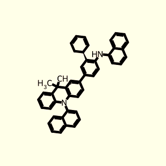 CC1(C)c2ccccc2N(c2cccc3ccccc23)c2ccc(-c3ccc(Nc4cccc5ccccc45)c([C@@H]4C=CC=CC4)c3)cc21